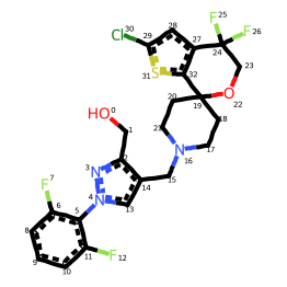 OCc1nn(-c2c(F)cccc2F)cc1CN1CCC2(CC1)OCC(F)(F)c1cc(Cl)sc12